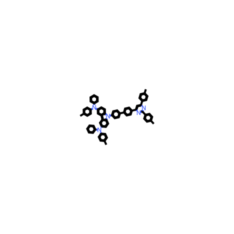 Cc1ccc(-c2cc(-c3ccc(-c4ccc(-n5c6ccc(N(c7ccccc7)c7ccc(C)cc7)cc6c6cc(N(c7ccccc7)c7ccc(C)cc7)ccc65)cc4)cc3)nc(-c3ccc(C)cc3)n2)cc1